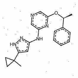 C[C@H](Oc1cncc(Nc2cc(C3(C)CC3)[nH]n2)n1)c1ccccc1